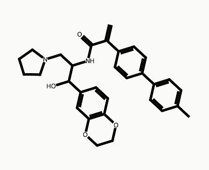 C=C(C(=O)NC(CN1CCCC1)C(O)c1ccc2c(c1)OCCO2)c1ccc(-c2ccc(C)cc2)cc1